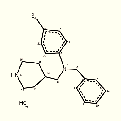 Brc1ccc(N(Cc2ccccc2)CC2CCNCC2)cc1.Cl